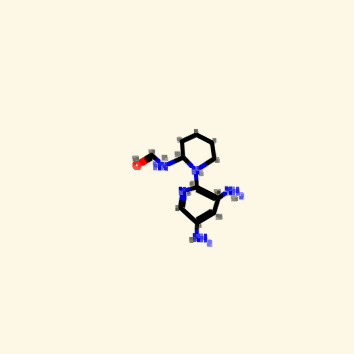 Nc1cnc(N2CCCCC2NC=O)c(N)c1